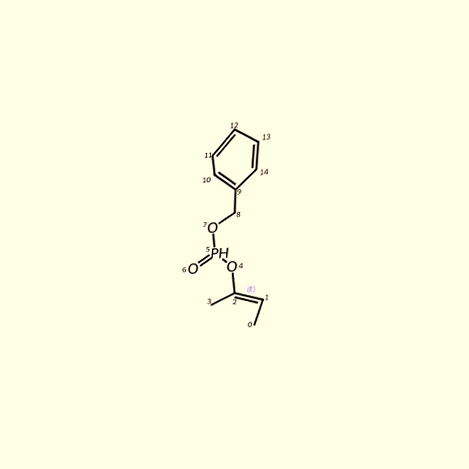 C/C=C(\C)O[PH](=O)OCc1ccccc1